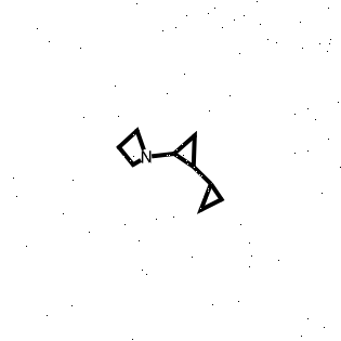 C1CN(C2CC2C2CC2)C1